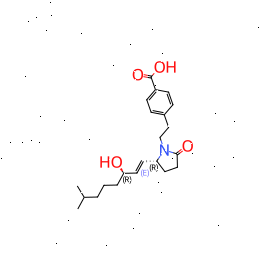 CC(C)CCC[C@@H](O)/C=C/[C@H]1CCC(=O)N1CCc1ccc(C(=O)O)cc1